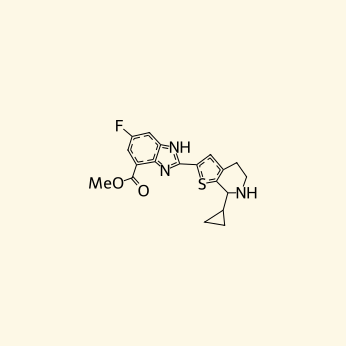 COC(=O)c1cc(F)cc2[nH]c(-c3cc4c(s3)C(C3CC3)NCC4)nc12